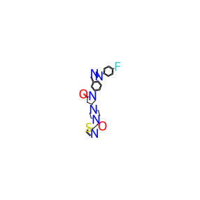 O=C(c1nccs1)N1CCN([C@@H]2CC(=O)N(c3ccc4c(cnn4-c4ccc(F)cc4)c3)C2)CC1